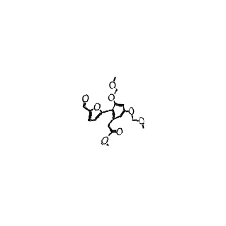 COCOc1cc(CC(=O)OC)c(-c2ccc(C=O)o2)c(OCOC)c1